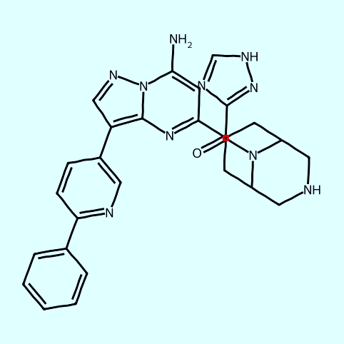 Nc1cc(C2CC3CNCC(C2)N3C(=O)c2nc[nH]n2)nc2c(-c3ccc(-c4ccccc4)nc3)cnn12